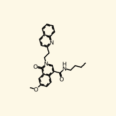 CCCCNC(=O)c1cn(CCc2ccc3ccccc3n2)c(=O)c2cc(OC)ccc12